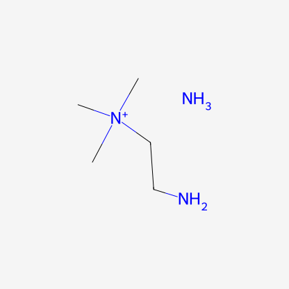 C[N+](C)(C)CCN.N